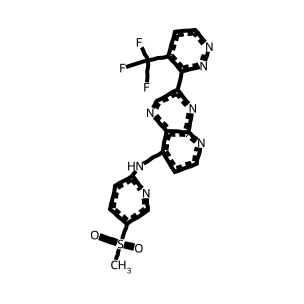 CS(=O)(=O)c1ccc(Nc2ccnc3nc(-c4nnccc4C(F)(F)F)cnc23)nc1